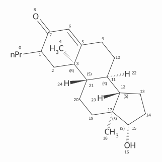 CCCC1C[C@@]2(C)C(=CC1=O)CC[C@H]1[C@@H]3CC[C@H](O)[C@@]3(C)CC[C@@H]12